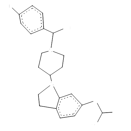 CC(O)Oc1ccc2c(c1)N(C1CCN(C(C)c3ccc(F)cc3)CC1)CC2